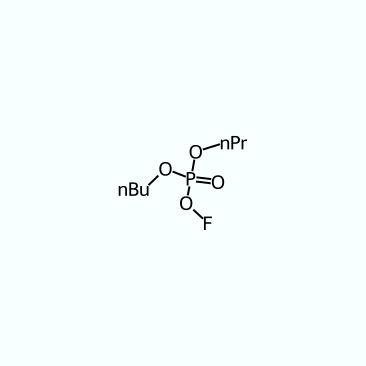 CCCCOP(=O)(OF)OCCC